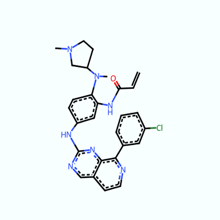 C=CC(=O)Nc1cc(Nc2ncc3ccnc(-c4cccc(Cl)c4)c3n2)ccc1N(C)C1CCN(C)C1